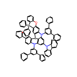 c1ccc(-c2cc(-c3ccccc3)cc(N3c4ccc(-c5ccccc5)cc4B4c5cc6c(cc5N(c5cc(-c7ccccc7)cc(-c7ccccc7)c5)c5cc(-n7c8ccccc8c8ccccc87)cc3c54)Oc3ccccc3[Si]6(c3ccccc3)c3ccccc3)c2)cc1